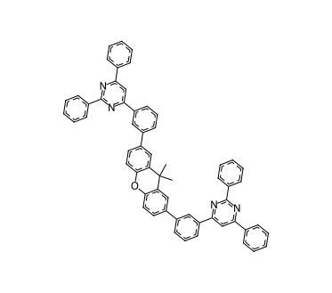 CC1(C)c2cc(-c3cccc(-c4cc(-c5ccccc5)nc(-c5ccccc5)n4)c3)ccc2Oc2ccc(-c3cccc(-c4cc(-c5ccccc5)nc(-c5ccccc5)n4)c3)cc21